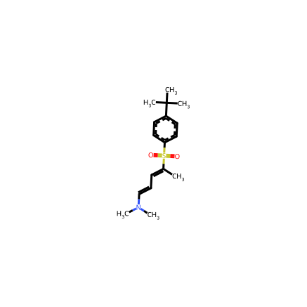 CC(=CC=CN(C)C)S(=O)(=O)c1ccc(C(C)(C)C)cc1